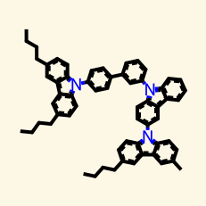 CCCCc1ccc2c(c1)c1cc(C)ccc1n2-c1ccc2c(c1)c1ccccc1n2-c1cccc(-c2ccc(-n3c4ccc(CCCC)cc4c4cc(CCCC)ccc43)cc2)c1